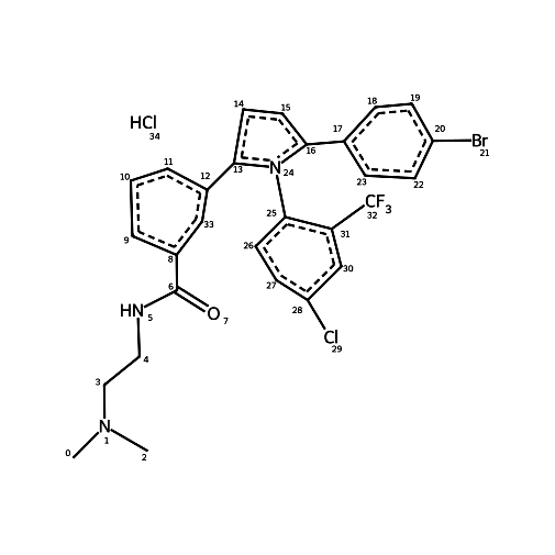 CN(C)CCNC(=O)c1cccc(-c2ccc(-c3ccc(Br)cc3)n2-c2ccc(Cl)cc2C(F)(F)F)c1.Cl